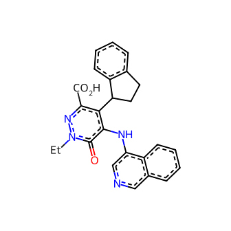 CCn1nc(C(=O)O)c(C2CCc3ccccc32)c(Nc2cncc3ccccc23)c1=O